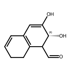 O=CC1C2=C(C=CCC2)C=C(O)[C@@H]1O